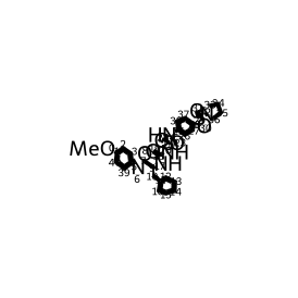 COc1ccc(N(C)C(=O)[C@H](Cc2ccccc2)NC(=O)NS(=O)(=O)Nc2ccc(S(=O)(=O)N3CCCC3)cc2)cc1